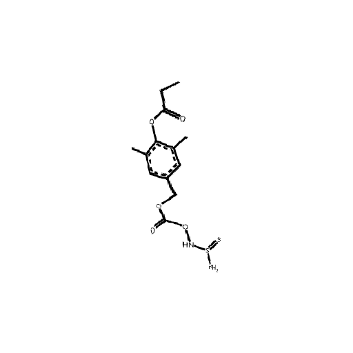 CCC(=O)Oc1c(C)cc(COC(=O)ONS(P)=S)cc1C